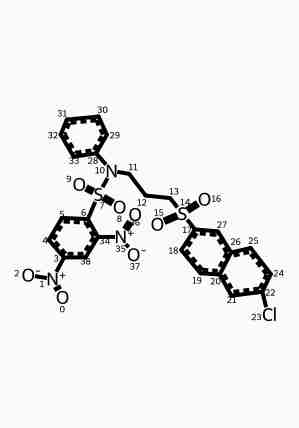 O=[N+]([O-])c1ccc(S(=O)(=O)N(CCCS(=O)(=O)c2ccc3cc(Cl)ccc3c2)c2ccccc2)c([N+](=O)[O-])c1